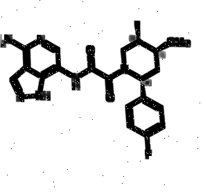 CO[C@H]1C[C@H](c2ccc(F)cc2)N(C(=O)C(=O)Nc2cnc(N)c3cn[nH]c23)C[C@H]1C